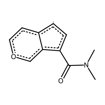 CN(C)C(=O)c1c[c]c2ccocc1-2